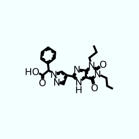 CCCn1c(=O)c2[nH]c(-c3cnn(C(C(=O)O)c4ccccc4)c3)nc2n(CCC)c1=O